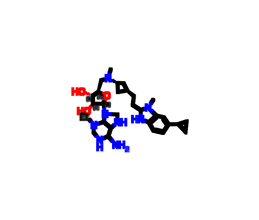 CCN1CNC(N)C2NCN([C@@H]3O[C@H](CN(C)[C@H]4C[C@H](CCC5Nc6ccc(C7CC7)cc6N5C)C4)[C@@H](O)[C@H]3O)C21